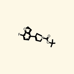 CC(C)(C)OC(=O)N1CC=C(c2ccc(F)c3occc23)CC1